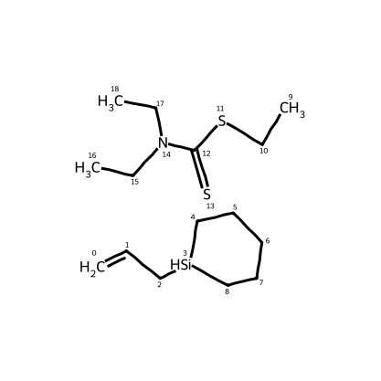 C=CC[SiH]1CCCCC1.CCSC(=S)N(CC)CC